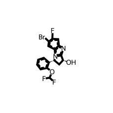 O[C@@H]1C[C@H](c2ccccc2OC(F)F)n2c1nc1cc(F)c(Br)cc12